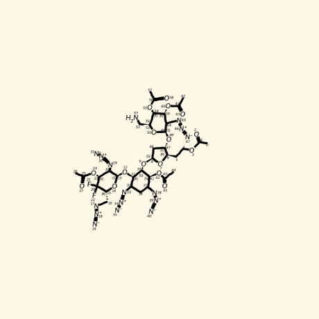 CC(=O)OCC[C@H]1O[C@@H](O[C@H]2[C@H](O[C@H]3O[C@H](CN=[N+]=[N-])C(F)(F)[C@H](OC(C)=O)C3N=[N+]=[N-])C(N=[N+]=[N-])CC(N=[N+]=[N-])[C@@H]2OC(C)=O)C[C@@H]1O[C@H]1O[C@@H](CN)[C@@H](OC(C)=O)[C@H](OC(C)=O)C1N=[N+]=[N-]